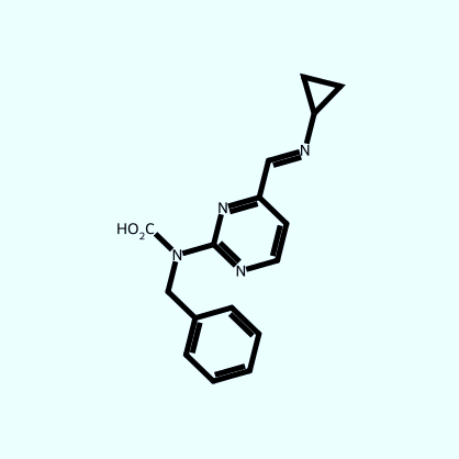 O=C(O)N(Cc1ccccc1)c1nccc(/C=N/C2CC2)n1